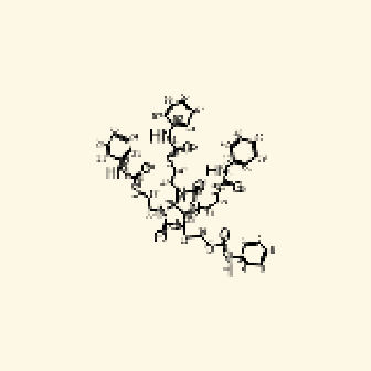 O=C(Nc1ccccc1)SCCN1C(=O)N(CCSC(=O)Nc2ccccc2)C2C1N(CCSC(=O)Nc1ccccc1)C(=O)N2CCSC(=O)Nc1ccccc1